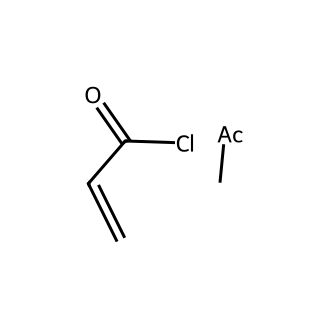 C=CC(=O)Cl.CC(C)=O